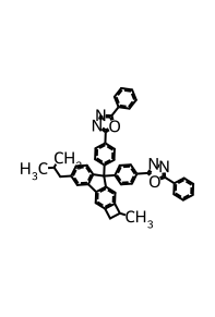 CC(C)Cc1ccc2c(c1)-c1cc3c(cc1C2(c1ccc(-c2nnc(-c4ccccc4)o2)cc1)c1ccc(-c2nnc(-c4ccccc4)o2)cc1)C(C)C3